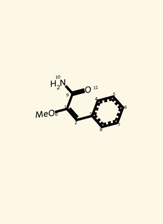 COC(=Cc1ccccc1)C(N)=O